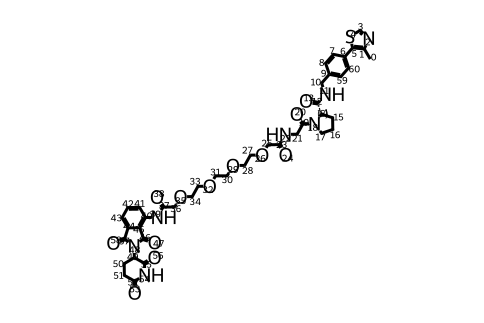 Cc1ncsc1-c1ccc(CNC(=O)[C@@H]2CCCN2C(=O)CNC(=O)COCCOCCOCCOCC(=O)Nc2cccc3c2C(=O)N(C2CCC(=O)NC2=O)C3=O)cc1